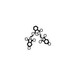 O=C(OCCN1C(=O)C2CC3OC3CC2C1=O)C1CCCCC1C(=O)OCCN1C(=O)C2CC3OC3CC2C1=O